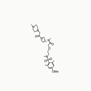 COc1cc(C)c(S(=O)(=O)N(C)CCOCC(=O)N(C)[C@@H]2CCN(C(=O)CN3CCN(C)CC3)C2)c(C)c1